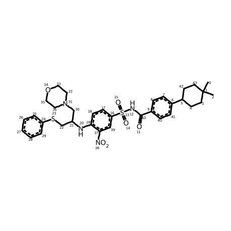 CC1(C)CCC(c2ccc(C(=O)NS(=O)(=O)c3ccc(NC(CSc4ccccc4)CN4CCOCC4)c([N+](=O)[O-])c3)cc2)CC1